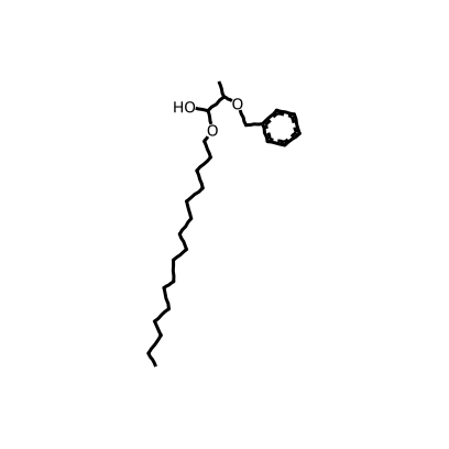 CCCCCCCCCCCCCCCCOC(O)C(C)OCc1ccccc1